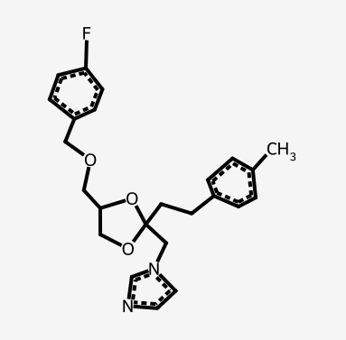 Cc1ccc(CCC2(Cn3ccnc3)OCC(COCc3ccc(F)cc3)O2)cc1